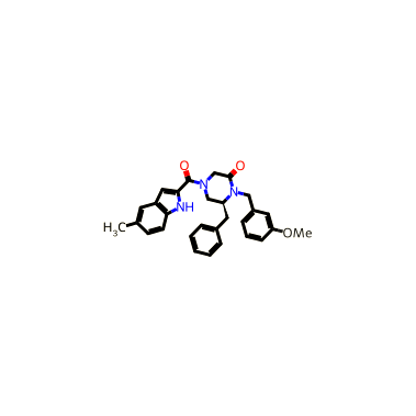 COc1cccc(CN2C(=O)CN(C(=O)c3cc4cc(C)ccc4[nH]3)C[C@@H]2Cc2ccccc2)c1